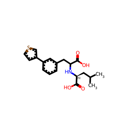 CC(C)C[C@H](NC(Cc1cccc(-c2ccsc2)c1)C(=O)O)C(=O)O